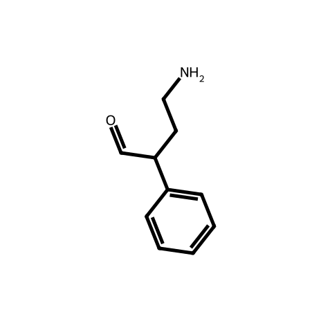 NCCC(C=O)c1ccccc1